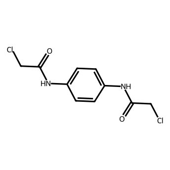 O=C(CCl)Nc1ccc(NC(=O)CCl)cc1